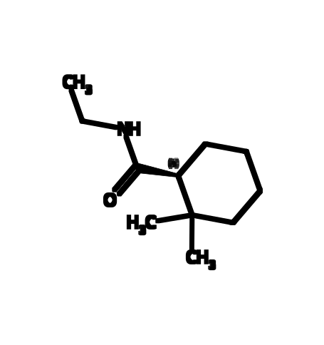 CCNC(=O)[C@H]1CCCCC1(C)C